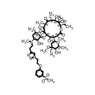 CC[C@H]1OC(=O)[C@H](C)[C@@H](C2C[C@@](C)(OC)[C@@H](O)[C@H](C)O2)[C@H](C)[C@@H](O[C@@H]2O[C@H](C)C[C@H](N(C)CCc3cn(CCOc4cccc(S(C)(=O)=O)c4)nn3)[C@H]2O)[C@](C)(OC)C[C@@H](C)C(=O)[C@H](C)[C@@H](O)[C@]1(C)O